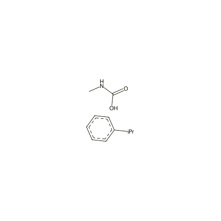 CC(C)c1ccccc1.CNC(=O)O